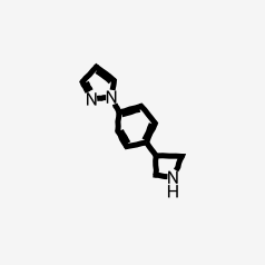 c1cnn(-c2ccc(C3CNC3)cc2)c1